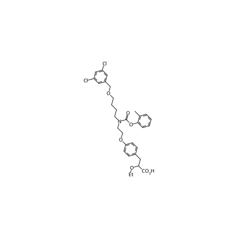 CCOC(Cc1ccc(OCCN(CCCCOCc2cc(Cl)cc(Cl)c2)C(=O)Oc2ccccc2C)cc1)C(=O)O